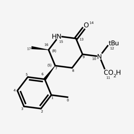 Cc1ccccc1[C@@H]1CC(N(C(=O)O)C(C)(C)C)C(=O)N[C@@H]1C